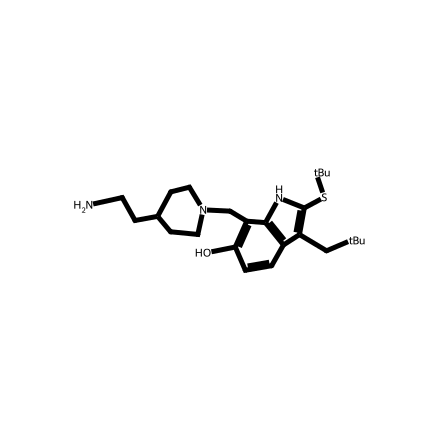 CC(C)(C)Cc1c(SC(C)(C)C)[nH]c2c(CN3CCC(CCN)CC3)c(O)ccc12